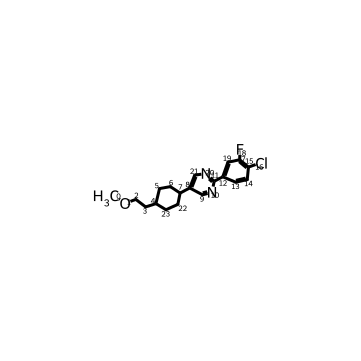 COCCC1CCC(c2cnc(-c3ccc(Cl)c(F)c3)nc2)CC1